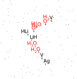 O.O.O.O.O.[Ag].[LiH].[LiH].[V].[V]